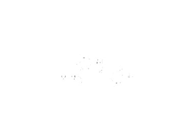 CNC(=O)c1cccc(NC(=O)Cc2cccc(Br)c2)c1